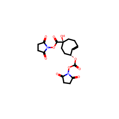 O=C(O[C@H]1/C=C/CC[C@@](O)(C(=O)ON2C(=O)CCC2=O)CC1)ON1C(=O)CCC1=O